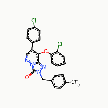 O=c1n(Cc2ccc(C(F)(F)F)cc2)nc2c(Oc3ccccc3Cl)c(-c3ccc(Cl)cc3)cnn12